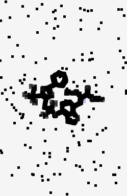 [2H]C([2H])(Cc1nc(-c2ccccc2)oc1C([2H])([2H])[2H])Oc1ccc(/C=C(\OC)C(=O)OC)c2sccc12